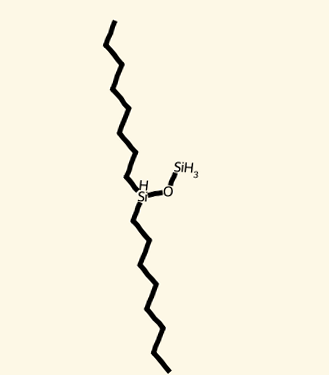 CCCCCCCC[SiH](CCCCCCCC)O[SiH3]